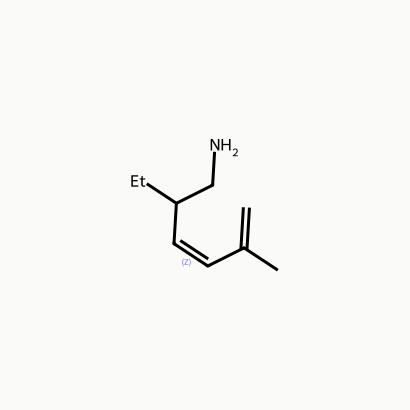 C=C(C)/C=C\C(CC)CN